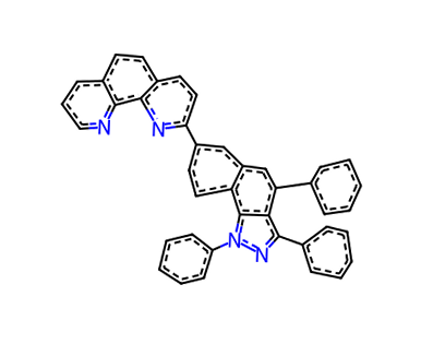 c1ccc(-c2cc3cc(-c4ccc5ccc6cccnc6c5n4)ccc3c3c2c(-c2ccccc2)nn3-c2ccccc2)cc1